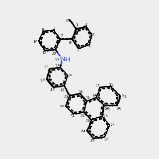 Cc1ccccc1-c1ccccc1Nc1cccc(-c2ccc3c4ccccc4c4ccccc4c3c2)c1